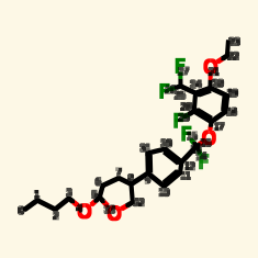 CCCCOC1CCC(c2ccc(C(F)(F)Oc3ccc(OCC)c(C(F)F)c3F)cc2)CO1